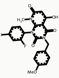 COc1ccc(Cn2c(=O)c3c(O)cc(=O)n(C)c3n(-c3ccc(I)cc3F)c2=O)cc1